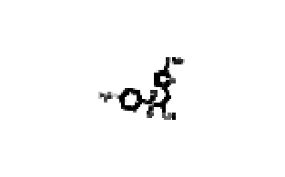 CSc1ccc(/C=C(/C#N)S(=O)(=O)c2ccc(C(F)(F)F)cc2)s1